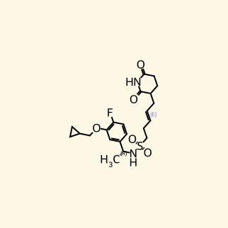 C[C@@H](NS(=O)(=O)CC/C=C/CC1CCC(=O)NC1=O)c1ccc(F)c(OCC2CC2)c1